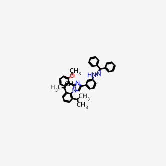 COc1ccccc1-c1nc(-c2cccc(NN=C(c3ccccc3)c3ccccc3)c2)cn1-c1c(C(C)C)cccc1C(C)C